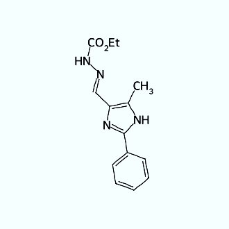 CCOC(=O)NN=Cc1nc(-c2ccccc2)[nH]c1C